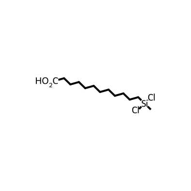 C[Si](Cl)(Cl)CCCCCCCCCCCC(=O)O